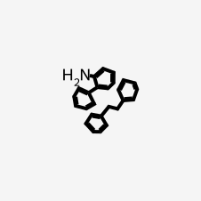 Nc1ccccc1-c1ccccc1.c1ccc(CCc2ccccc2)cc1